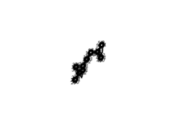 c1ccc(-c2cc(-c3cccc(-c4ccc(-c5ccc6c(ccc7nc(-c8ccccc8)cc(-c8ccccc8)c76)c5)cc4)c3)cc(-c3ccccc3)n2)cc1